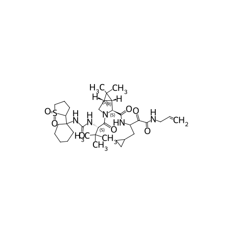 C=CCNC(=O)C(=O)C(CC1CC1)NC(=O)[C@@H]1[C@@H]2[C@H](CN1C(=O)[C@@H](NC(=O)NC1(C3CCCS3(=O)=O)CCCCC1)C(C)(C)C)C2(C)C